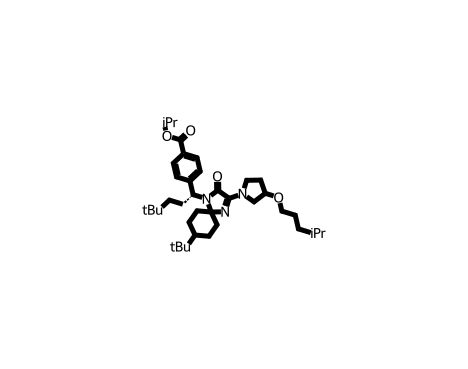 CC(C)CCCOC1CCN(C2=NC3(CCC(C(C)(C)C)CC3)N([C@H](CCC(C)(C)C)c3ccc(C(=O)OC(C)C)cc3)C2=O)C1